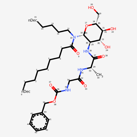 CCCCCCCCCCCCCCCCCC(=O)N(CCCCCCCCCCCCCC)[C@@H]1O[C@H](CO)[C@@H](O)[C@H](O)[C@H]1NC(=O)[C@H](C)NC(=O)CNC(=O)OCc1ccccc1